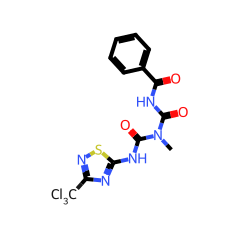 CN(C(=O)NC(=O)c1ccccc1)C(=O)Nc1nc(C(Cl)(Cl)Cl)ns1